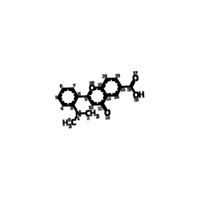 CN(C)c1ccccc1-c1cc(=O)c2cc(C(=O)O)ccc2o1